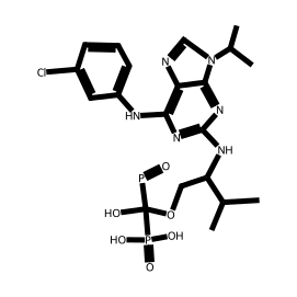 CC(C)C(COC(O)(P=O)P(=O)(O)O)Nc1nc(Nc2cccc(Cl)c2)c2ncn(C(C)C)c2n1